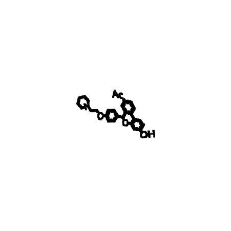 CC(=O)c1ccc2c(c1)C(c1ccc(OCCN3CCCCC3)cc1)Oc1cc(O)ccc1-2